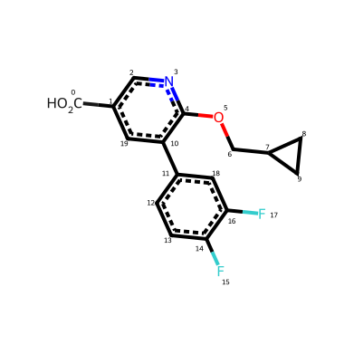 O=C(O)c1cnc(OCC2CC2)c(-c2ccc(F)c(F)c2)c1